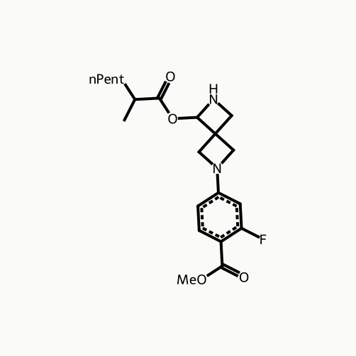 CCCCCC(C)C(=O)OC1NCC12CN(c1ccc(C(=O)OC)c(F)c1)C2